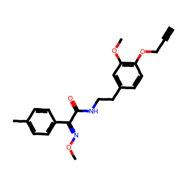 C#CCOc1ccc(CCNC(=O)C(=NOC)c2ccc(C)cc2)cc1OC